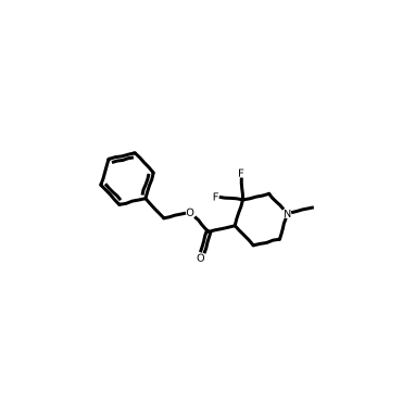 CN1CCC(C(=O)OCc2ccccc2)C(F)(F)C1